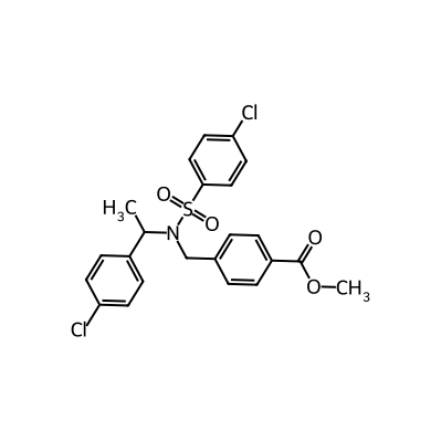 COC(=O)c1ccc(CN(C(C)c2ccc(Cl)cc2)S(=O)(=O)c2ccc(Cl)cc2)cc1